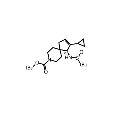 CC(C)(C)OC(=O)N1CCC2(CC=C(C3CC3)[C@H]2N[S+]([O-])C(C)(C)C)CC1